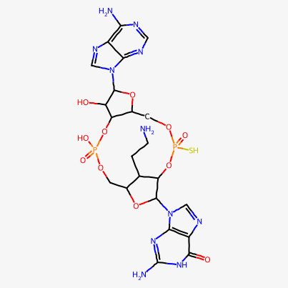 NCCC1C2COP(=O)(O)OC3C(COP(=O)(S)OC1C(n1cnc4c(=O)[nH]c(N)nc41)O2)OC(n1cnc2c(N)ncnc21)C3O